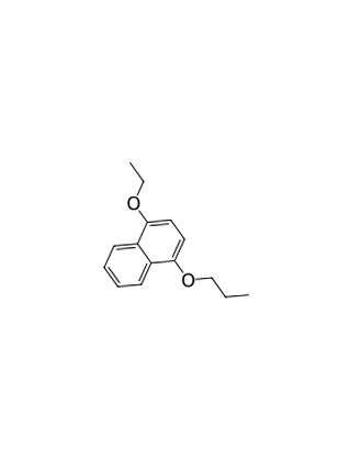 CCCOc1ccc(OCC)c2ccccc12